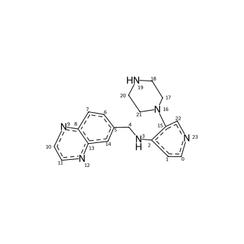 c1cc(NCc2ccc3nccnc3c2)c(N2CCNCC2)cn1